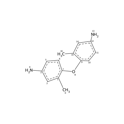 Cc1cc(N)ccc1Oc1ccc(N)cc1C